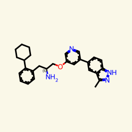 Cc1n[nH]c2ccc(-c3cncc(OC[C@@H](N)Cc4ccccc4C4CCCCC4)c3)cc12